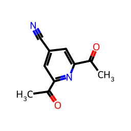 CC(=O)c1cc(C#N)cc(C(C)=O)n1